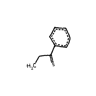 [CH2]CC(=S)c1ccccc1